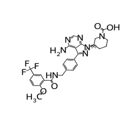 COc1ccc(C(F)(F)F)cc1C(=O)NCc1ccc(-c2nn([C@@H]3CCCN(C(=O)O)C3)c3ncnc(N)c23)cc1